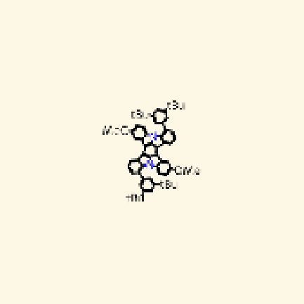 COc1ccc2c(c1)c1c3c4cccc(-c5cc(C(C)(C)C)cc(C(C)(C)C)c5)c4n4c5ccc(OC)cc5c(c5c6cccc(-c7cc(C(C)(C)C)cc(C(C)(C)C)c7)c6n2c15)c34